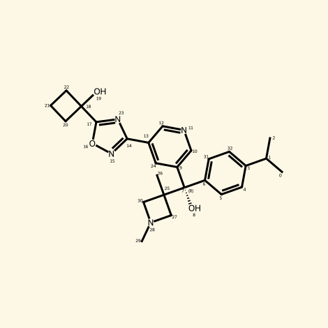 CC(C)c1ccc([C@](O)(c2cncc(-c3noc(C4(O)CCC4)n3)c2)C2(C)CN(C)C2)cc1